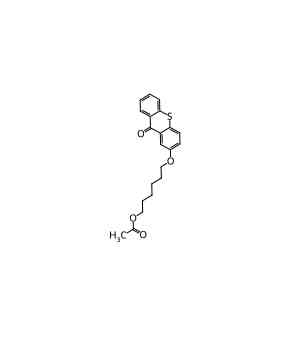 CC(=O)OCCCCCCOc1ccc2sc3ccccc3c(=O)c2c1